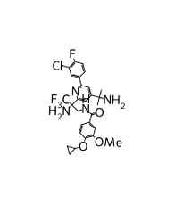 COc1cc(C(=O)NCC(N)(c2cc(C(C)(C)N)cc(-c3ccc(F)c(Cl)c3)n2)C(F)(F)F)ccc1OC1CC1